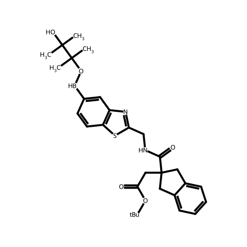 CC(C)(C)OC(=O)CC1(C(=O)NCc2nc3cc(BOC(C)(C)C(C)(C)O)ccc3s2)Cc2ccccc2C1